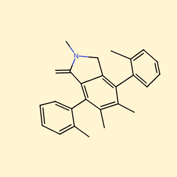 C=C1c2c(c(-c3ccccc3C)c(C)c(C)c2-c2ccccc2C)CN1C